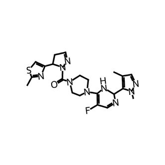 Cc1nc(C2CC=NN2C(=O)N2CCN(C3=C(F)C=NC(c4c(C)cnn4C)N3)CC2)cs1